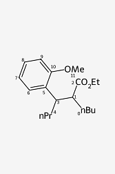 CCCCC(C(=O)OCC)C(CCC)c1ccccc1OC